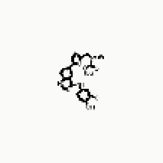 CCCN(Cc1ccc(-c2ccc3ncnc(Nc4ccc(O)c(Cl)c4)c3c2)o1)C(=O)OC(C)(C)C